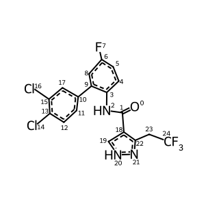 O=C(Nc1ccc(F)cc1-c1ccc(Cl)c(Cl)c1)c1c[nH]nc1CC(F)(F)F